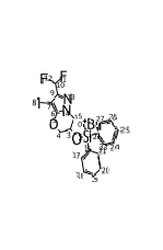 CC(C)(C)[Si](OC1COc2c(I)c(C(F)F)nn2C1)(c1ccccc1)c1ccccc1